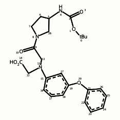 CC(C)(C)OC(=O)NC1CCN(C(=O)CN(CC(=O)O)c2cccc(Oc3ccccc3)c2)C1